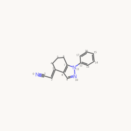 N#CC=C1CCCc2c1cnn2-c1ccccc1